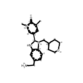 Cc1cc(C2Nc3cc(CN)ccc3N2CC2CCOCC2)cn(C)c1=O